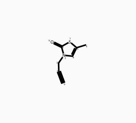 C#CCn1cc(C)sc1=O